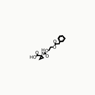 O=C(Cc1ccccc1)OCCOC(=O)NC1(C(=O)O)CC1